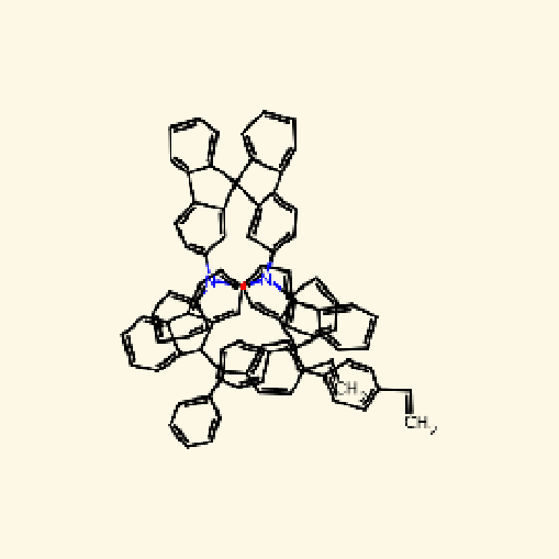 C=Cc1ccc(CC2(c3ccccc3)c3ccccc3-c3ccc(N(c4ccccc4)c4ccc5c(c4)C4(c6ccccc6-c6ccc(N(c7ccccc7)c7ccc8c(c7)C(C(c7ccccc7)c7ccc(C=C)cc7)c7ccccc7-8)cc64)c4ccccc4-5)cc32)cc1